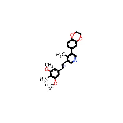 COc1cc(/C=C/c2cncc(-c3ccc4c(c3)OCCO4)c2C)cc(OC)c1C